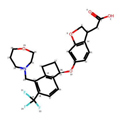 O=C(O)CC1COc2cc(O[C@@H]3CCc4c3ccc(C(F)(F)F)c4CN3CCCOCC3)ccc21